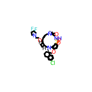 CN1CC=C[C@H](OCCN2CCC(F)(F)C2)[C@@H]2CC[C@H]2CN2C[C@@]3(CCCc4cc(Cl)ccc43)COc3ccc(cc32)S(=O)(=O)NC(=O)C1(C)C